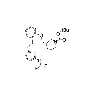 CC(C)(C)OC(=O)N1CCCC(COc2ccccc2CCc2cccc(OC(F)F)c2)C1